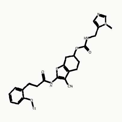 CCOc1ccccc1CCC(=O)Nc1sc2c(c1C#N)CCC(OC(=O)NCc1cncn1C)C2